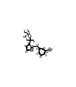 CC(C)(O[Si](C)(C)C)c1ccnn1Cc1cccc(Br)c1